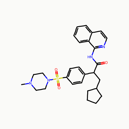 CN1CCN(S(=O)(=O)c2ccc(C(CC3CCCC3)C(=O)Nc3nccc4ccccc34)cc2)CC1